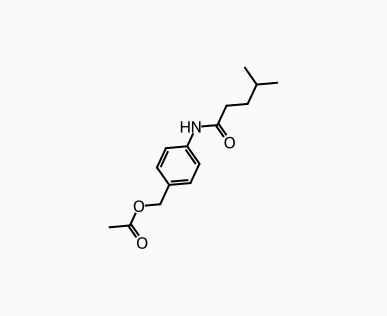 CC(=O)OCc1ccc(NC(=O)CCC(C)C)cc1